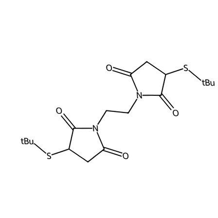 CC(C)(C)SC1CC(=O)N(CCN2C(=O)CC(SC(C)(C)C)C2=O)C1=O